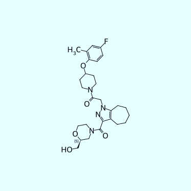 Cc1cc(F)ccc1OC1CCN(C(=O)Cn2nc(C(=O)N3CCO[C@H](CO)C3)c3c2CCCCC3)CC1